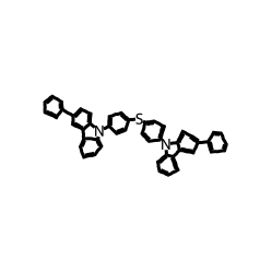 c1ccc(-c2ccc3c(c2)c2ccccc2n3-c2ccc(Sc3ccc(-n4c5ccccc5c5cc(-c6ccccc6)ccc54)cc3)cc2)cc1